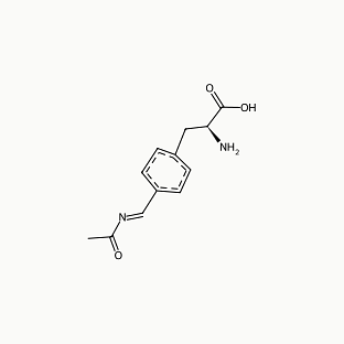 CC(=O)/N=C/c1ccc(C[C@H](N)C(=O)O)cc1